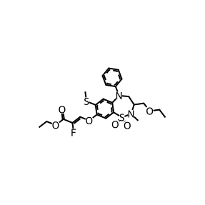 CCOCC1CN(c2ccccc2)c2cc(SC)c(O/C=C(\F)C(=O)OCC)cc2S(=O)(=O)N1C